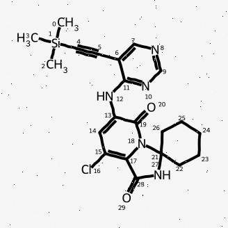 C[Si](C)(C)C#Cc1cncnc1Nc1cc(Cl)c2n(c1=O)C1(CCCCC1)NC2=O